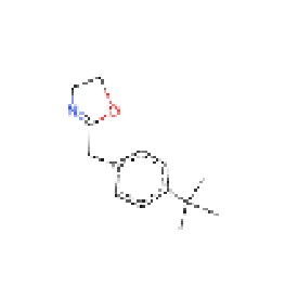 CC(C)(C)c1ccc(CC2=NCCO2)cc1